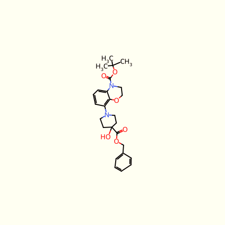 CC(C)(C)OC(=O)N1CCOc2c(N3CCC(O)(C(=O)OCc4ccccc4)CC3)cccc21